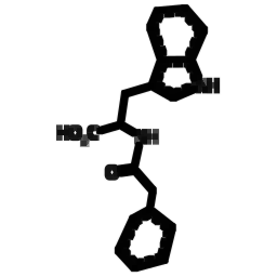 O=C(Cc1ccccc1)NC(Cc1c[nH]c2ccccc12)C(=O)O